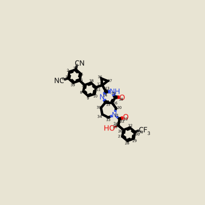 N#Cc1cc(C#N)cc(-c2cccc(C3(c4nc5c(c(=O)[nH]4)CN(C(=O)[C@H](O)c4cccc(C(F)(F)F)c4)CCC5)CC3)c2)c1